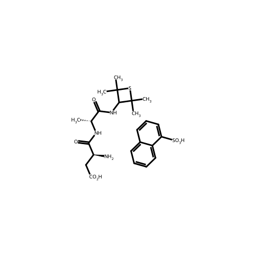 C[C@@H](NC(=O)[C@@H](N)CC(=O)O)C(=O)NC1C(C)(C)SC1(C)C.O=S(=O)(O)c1cccc2ccccc12